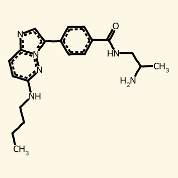 CCCCNc1ccc2ncc(-c3ccc(C(=O)NCC(C)N)cc3)n2n1